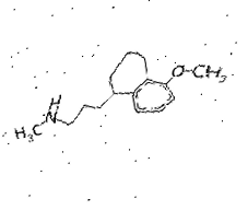 CNCCCC1CCCc2c(OC)cccc21